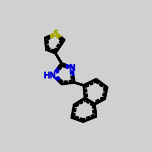 c1ccc2c(-c3c[nH]c(-c4ccsc4)n3)cccc2c1